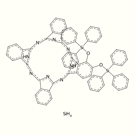 [SiH4].c1ccc([Si](Oc2ccc3c4nc5nc(nc6[nH]c(nc7nc(nc([nH]4)c3c2O[Si](c2ccccc2)(c2ccccc2)c2ccccc2)-c2ccccc2-7)c2ccccc62)-c2ccccc2-5)(c2ccccc2)c2ccccc2)cc1